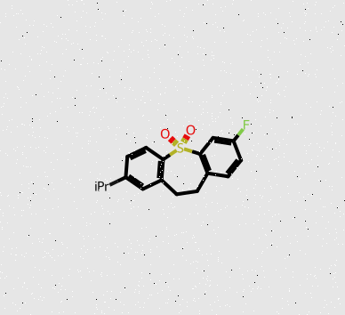 CC(C)c1ccc2c(c1)CCc1ccc(F)cc1S2(=O)=O